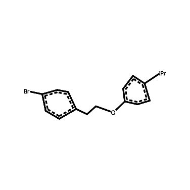 CC(C)c1ccc(OCCc2ccc(Br)cc2)cc1